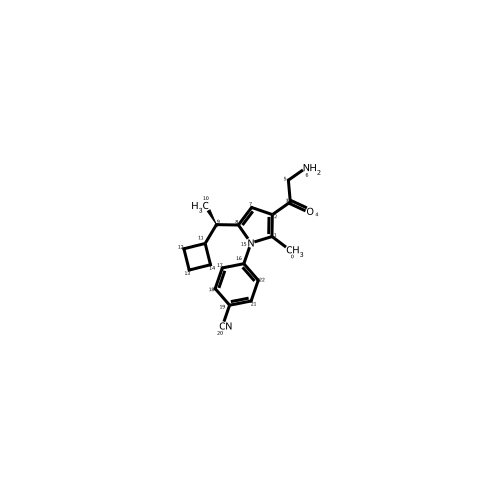 Cc1c(C(=O)CN)cc([C@H](C)C2CCC2)n1-c1ccc(C#N)cc1